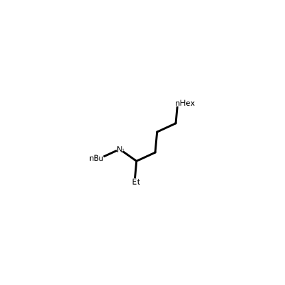 CCCCCCCCCC(CC)[N]CCCC